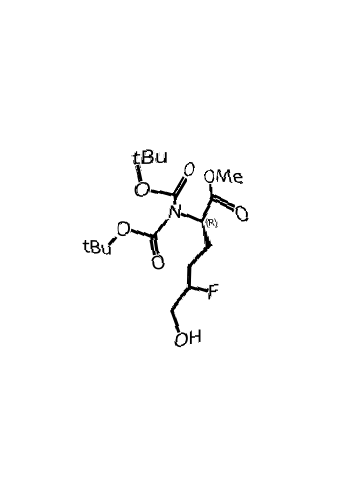 COC(=O)[C@@H](CCC(F)CO)N(C(=O)OC(C)(C)C)C(=O)OC(C)(C)C